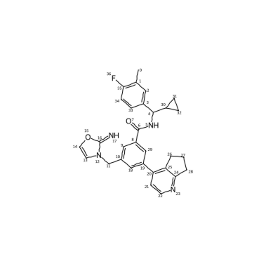 Cc1cc(C(NC(=O)c2cc(Cn3ccoc3=N)cc(-c3ccnc4c3CCC4)c2)C2CC2)ccc1F